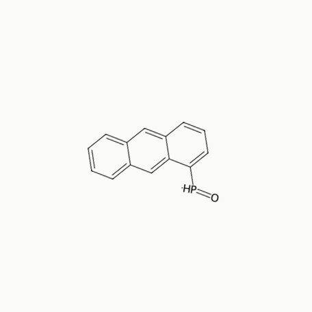 O=[PH]c1cccc2cc3ccccc3cc12